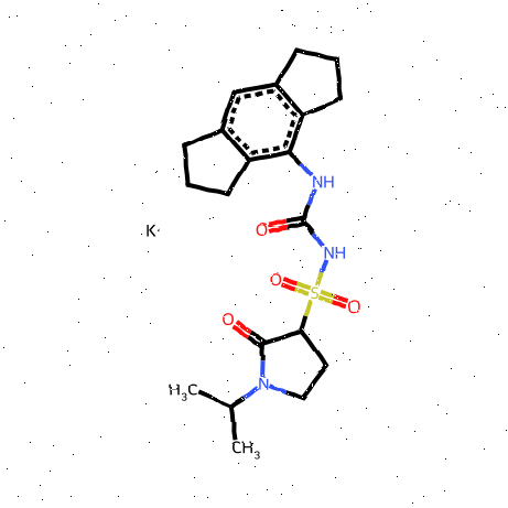 CC(C)N1CCC(S(=O)(=O)NC(=O)Nc2c3c(cc4c2CCC4)CCC3)C1=O.[K]